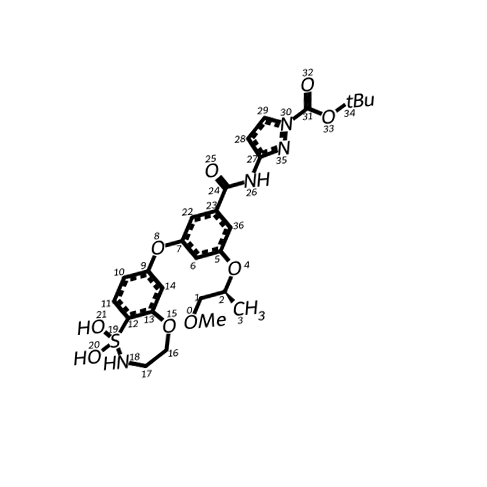 COC[C@H](C)Oc1cc(Oc2ccc3c(c2)OCCNS3(O)O)cc(C(=O)Nc2ccn(C(=O)OC(C)(C)C)n2)c1